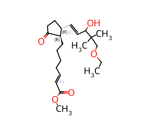 CCOCC(C)(C)C(O)/C=C/[C@H]1CCC(=O)[C@@H]1CCCC/C=C/C(=O)OC